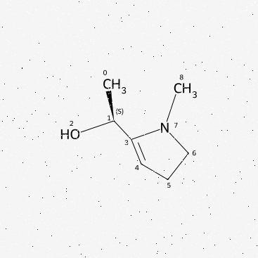 C[C@H](O)C1=CCCN1C